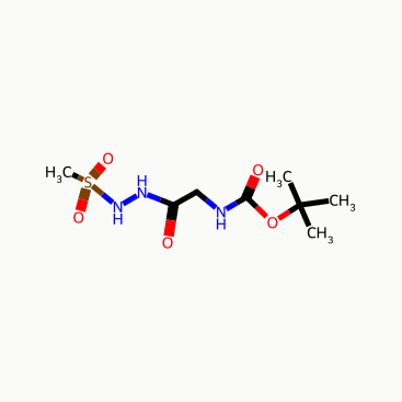 CC(C)(C)OC(=O)NCC(=O)NNS(C)(=O)=O